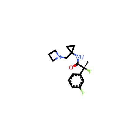 C[C@](F)(C(=O)NC1(CN2CCC2)CC1)c1cccc(F)c1